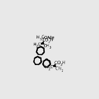 C1CCCCCC1.C1CCCCCC1.C1CCCCCC1.C=C(C)C(=O)O.C=C(C)C(=O)O.COC